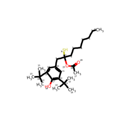 CCCCCCCC(S)(Cc1cc(C(C)(C)C)c(O)c(C(C)(C)C)c1)OC(C)=O